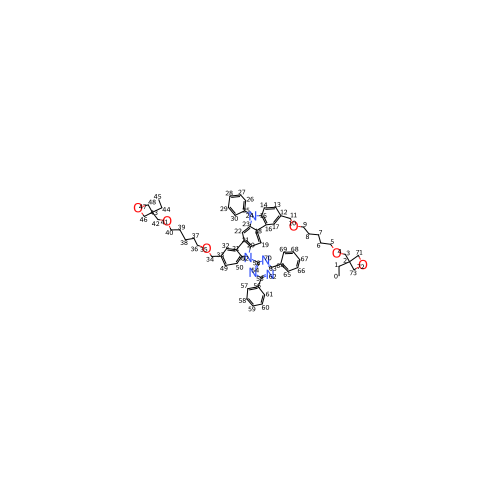 CCC1(COCCCCCOCc2ccc3c(c2)c2cc4c(cc2n3-c2ccccc2)c2cc(COCCCCCOCC3(CC)COC3)ccc2n4-c2nc(-c3ccccc3)nc(-c3ccccc3)n2)COC1